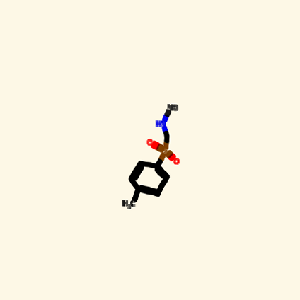 Cc1ccc(S(=O)(=O)CNN=O)cc1